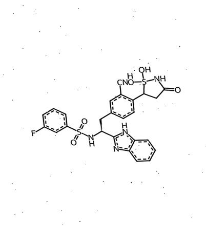 N#Cc1cc(C[C@H](NS(=O)(=O)c2cccc(F)c2)c2nc3ccccc3[nH]2)ccc1C1CC(=O)NS1(O)O